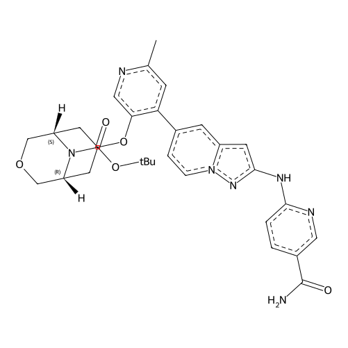 Cc1cc(-c2ccn3nc(Nc4ccc(C(N)=O)cn4)cc3c2)c(OC2C[C@H]3COC[C@@H](C2)N3C(=O)OC(C)(C)C)cn1